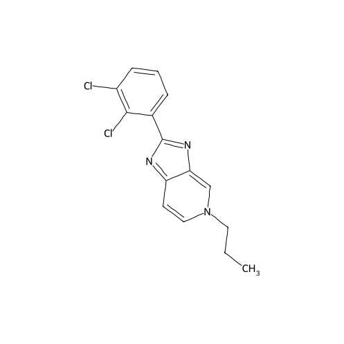 CCCn1ccc2nc(-c3cccc(Cl)c3Cl)nc-2c1